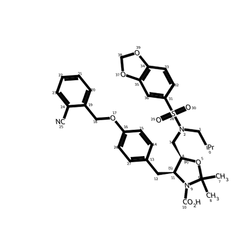 CC(C)CN(C[C@H]1OC(C)(C)N(C(=O)O)[C@H]1Cc1ccc(OCc2ccccc2C#N)cc1)S(=O)(=O)c1ccc2c(c1)OCO2